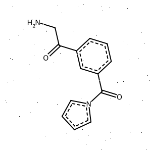 NCC(=O)c1cccc(C(=O)n2cccc2)c1